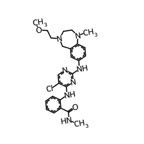 CNC(=O)c1ccccc1Nc1nc(Nc2ccc3c(c2)CN(CCOC)CCN3C)ncc1Cl